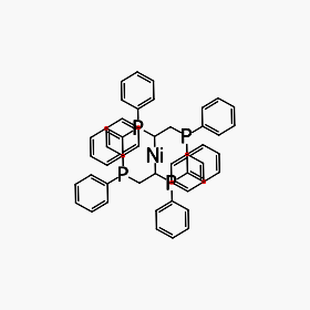 c1ccc(P(C[CH]([Ni][CH](CP(c2ccccc2)c2ccccc2)P(c2ccccc2)c2ccccc2)P(c2ccccc2)c2ccccc2)c2ccccc2)cc1